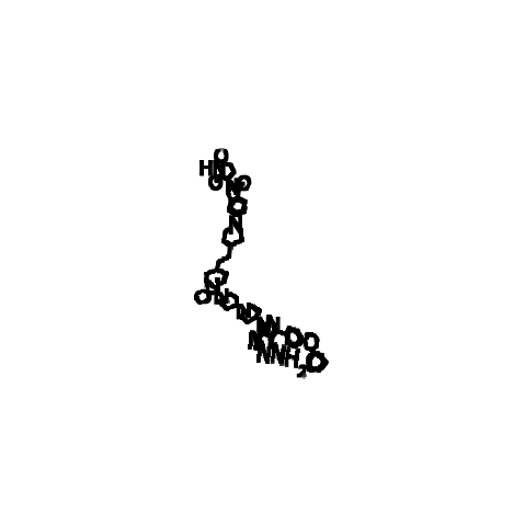 Nc1ncnc2c1c(-c1ccc(Oc3ccccc3)cc1)nn2C1CCN(C2CCN(C(=O)N3CCC(CCC4CCN(c5ccc6c(c5)CN(C5CCC(=O)NC5=O)C6=O)CC4)CC3)CC2)CC1